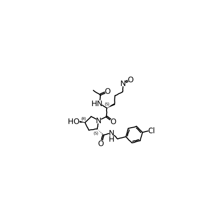 CC(=O)N[C@@H](CCCN=O)C(=O)N1C[C@H](O)C[C@H]1C(=O)NCc1ccc(Cl)cc1